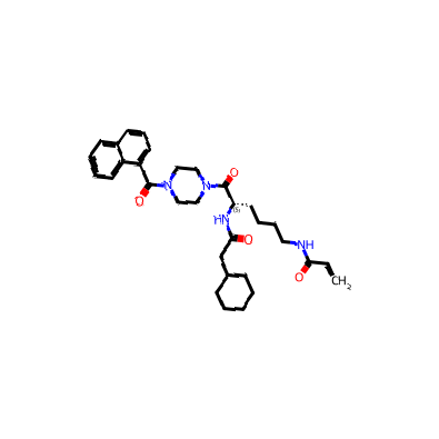 C=CC(=O)NCCCC[C@H](NC(=O)CC1CCCCC1)C(=O)N1CCN(C(=O)c2cccc3ccccc23)CC1